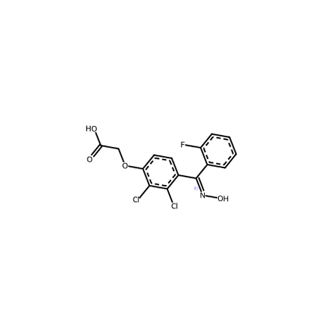 O=C(O)COc1ccc(/C(=N/O)c2ccccc2F)c(Cl)c1Cl